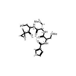 COCC(NC(=O)c1ccoc1)C(=O)N[C@@H](COC)C(=O)NC(CC(C)C)C(=O)C1(C)CO1